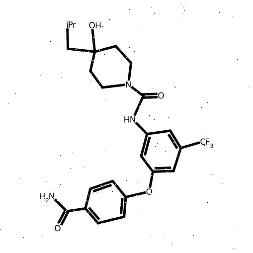 CC(C)CC1(O)CCN(C(=O)Nc2cc(Oc3ccc(C(N)=O)cc3)cc(C(F)(F)F)c2)CC1